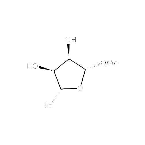 CC[C@H]1O[C@@H](OC)[C@H](O)[C@@H]1O